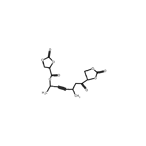 CC(C#CC(C)OC(=O)C1COC(=O)O1)CC(=O)C1COC(=O)O1